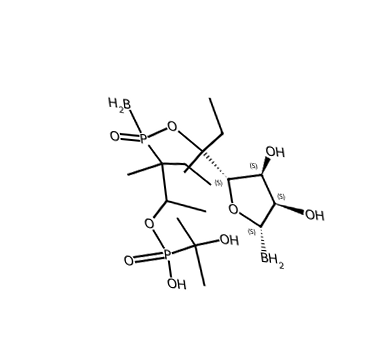 B[C@@H]1O[C@H](C(C)(CC)OP(B)(=O)C(C)(CC)C(C)OP(=O)(O)C(C)(C)O)[C@@H](O)[C@H]1O